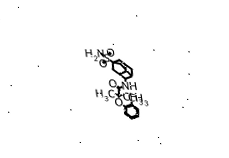 Cc1ccccc1OC(C)(C)C(=O)NC1C2CC3CC1CC(S(N)(=O)=O)(C3)C2